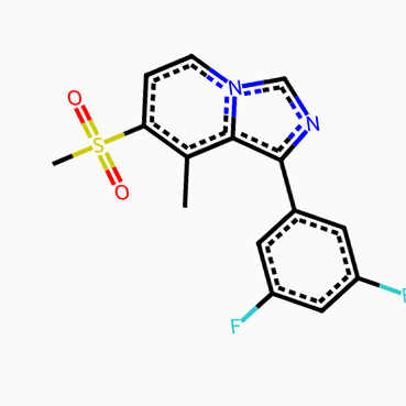 Cc1c(S(C)(=O)=O)ccn2cnc(-c3cc(F)cc(F)c3)c12